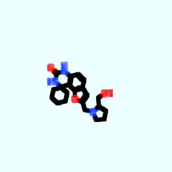 O=C1Nc2ccc3cc(CN4CCCC4CO)oc3c2C2(CCCCC2)N1